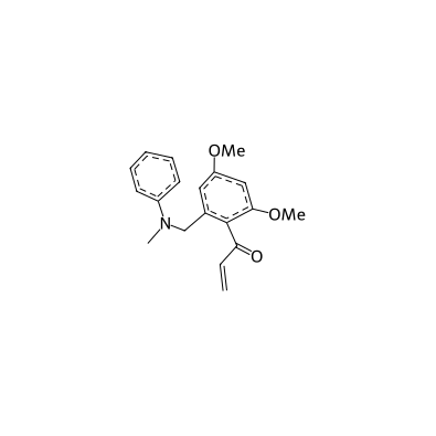 C=CC(=O)c1c(CN(C)c2ccccc2)cc(OC)cc1OC